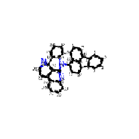 c1ccc2c(c1)-c1cccc3c(N4c5ccccc5-c5nccc6c5c4nc4ccccc46)ccc-2c13